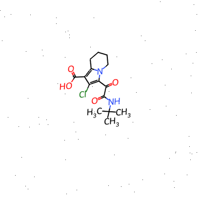 CC(C)(C)NC(=O)C(=O)c1c(Cl)c(C(=O)O)c2n1CCCC2